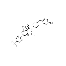 C[C@@H]1CN(c2ncc(C(F)(F)F)cn2)C[C@H](C)N1C(=O)NC1CCN(Cc2ccc(O)cc2)CC1